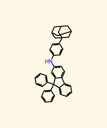 c1ccc(C2(c3ccccc3)c3ccccc3-c3ccc(Nc4ccc(C56CC7CC(CC(C7)C5)C6)cc4)cc32)cc1